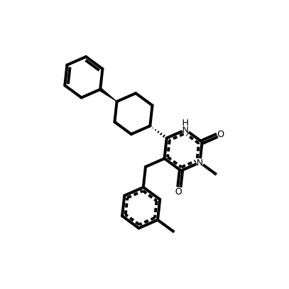 Cc1cccc(Cc2c(=O)n(C)c(=O)[nH]c2[C@H]2CC[C@H](C3C=CC=CC3)CC2)c1